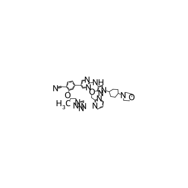 CC(Cn1cnnn1)Oc1cc(-c2cnc(Nc3cn(C4CCC(N5CCOCC5)CC4)nc3OCc3ncccn3)nc2)ccc1C#N